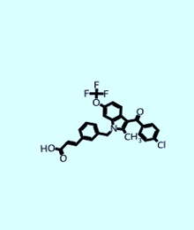 Cc1c(C(=O)c2ccc(Cl)cc2)c2ccc(OC(F)(F)F)cc2n1Cc1cccc(C=CC(=O)O)c1